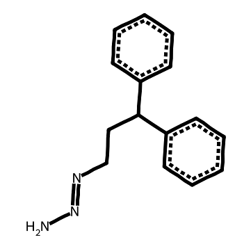 NN=NCCC(c1ccccc1)c1ccccc1